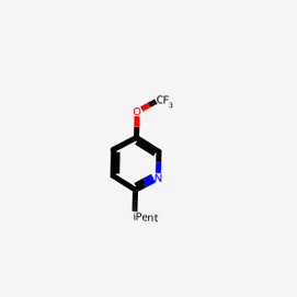 CCCC(C)c1ccc(OC(F)(F)F)cn1